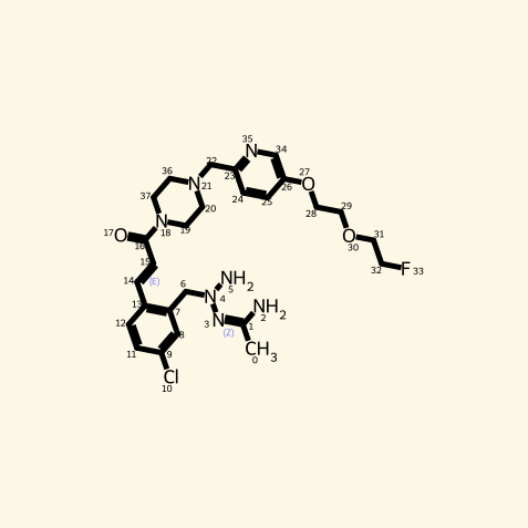 C/C(N)=N/N(N)Cc1cc(Cl)ccc1/C=C/C(=O)N1CCN(Cc2ccc(OCCOCCF)cn2)CC1